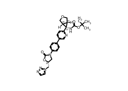 CC(C)(C)OC(=O)N[C@]1(c2ccc(-c3ccc(N4C[C@H](Cn5ccnn5)OC4=O)cc3)cn2)[C@@H]2COC[C@@H]21